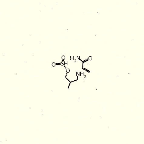 C=CC(N)=O.CC(CN)CO[SH](=O)=O